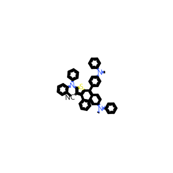 Cc1ccccc1N(c1ccccc1)c1sc(C(=C2C=CC(=[N+](C)c3ccccc3)C=C2)c2ccc(N(C)c3ccccc3)cc2)c(-c2ccccc2)c1C#N